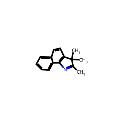 CC1=Nc2c(ccc3ccccc23)C1(C)C